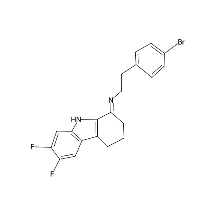 Fc1cc2[nH]c3c(c2cc1F)CCC/C3=N\CCc1ccc(Br)cc1